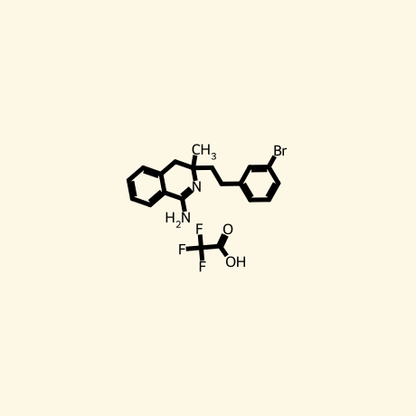 CC1(CCc2cccc(Br)c2)Cc2ccccc2C(N)=N1.O=C(O)C(F)(F)F